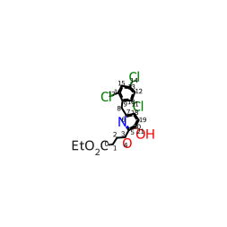 CCOC(=O)CCC(=O)c1nc(Cc2c(Cl)cc(Cl)cc2Cl)ccc1O